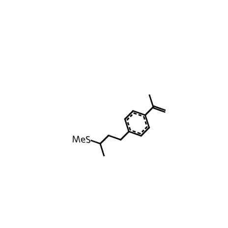 C=C(C)c1ccc(CCC(C)SC)cc1